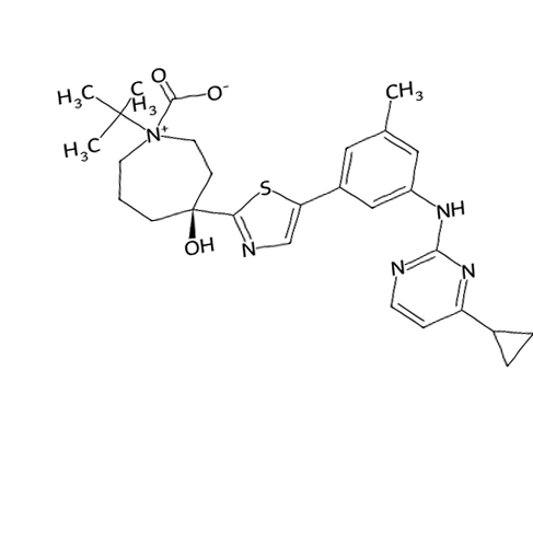 Cc1cc(Nc2nccc(C3CC3)n2)cc(-c2cnc([C@]3(O)CCC[N+](C(=O)[O-])(C(C)(C)C)CC3)s2)c1